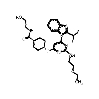 CCOCCNc1nc(O[C@H]2CC[C@H](C(=O)NCCO)CC2)cc(-n2c(C(F)F)nc3ccccc32)n1